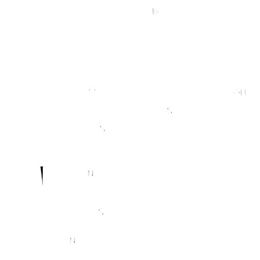 C[C@@H]1CCc2ncnc(N3CCN(C(=O)C(CN4CCC(O)CC4)c4ccc(Br)cc4)CC3)c21